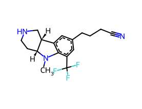 CN1c2c(cc(CCCC#N)cc2C(F)(F)F)[C@H]2CNCC[C@H]21